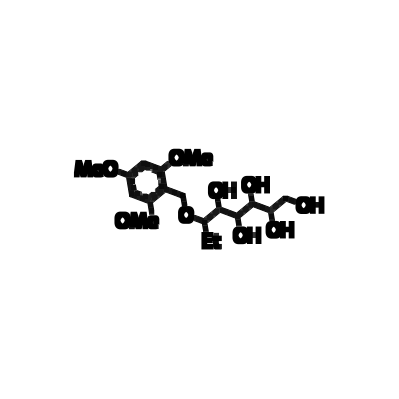 CCC(OCc1c(OC)cc(OC)cc1OC)C(O)C(O)C(O)C(O)CO